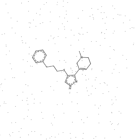 CN1CCC=C(c2n[nH]cc2SCCCc2ccccc2)C1